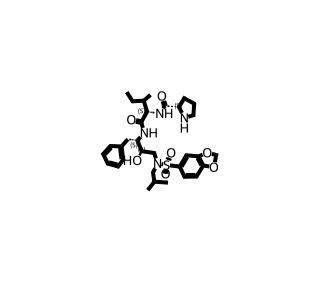 CCC(C)[C@H](NC(=O)[C@@H]1CCCN1)C(=O)N[C@@H](Cc1ccccc1)[C@H](O)CN(CC(C)C)S(=O)(=O)c1ccc2c(c1)OCO2